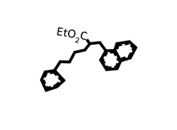 CCOC(=O)C(CCCCc1ccccc1)Cc1cccc2ccccc12